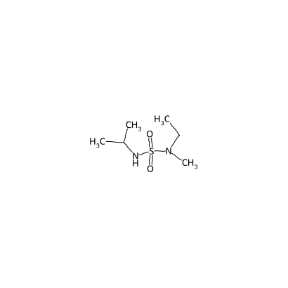 CCN(C)S(=O)(=O)NC(C)C